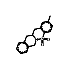 Cc1ccc2c(c1)CC1Cc3ccccc3CN1S2(=O)=O